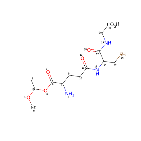 CCOC(C)OC(=O)C(N)CCC(=O)NC(CS)C(=O)NCC(=O)O